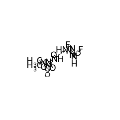 CC(C)N1CCn2c(CNC(=O)CCCCCNc3nc(-c4n[nH]c5ccc(F)cc45)ncc3F)cc(=O)c(OCc3ccccc3)c2C1=O